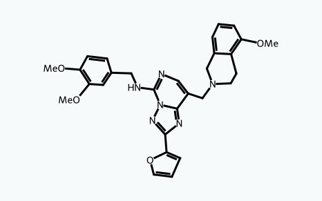 COc1ccc(CNc2ncc(CN3CCc4c(cccc4OC)C3)c3nc(-c4ccco4)nn23)cc1OC